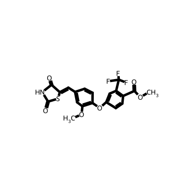 COC(=O)c1ccc(Oc2ccc(/C=C3\SC(=O)NC3=O)cc2OC)cc1C(F)(F)F